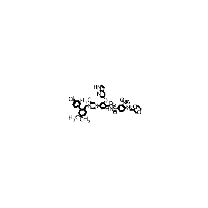 CC1CN(c2ccc(C(=O)NS(=O)(=O)c3ccc(NCC4COCCO4)c([N+](=O)[O-])c3)c(Oc3cnc4[nH]ccc4c3)c2)CCN1CC1=C(c2ccc(Cl)cc2)CC(C)(C)CC1